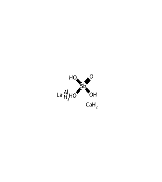 [AlH3].[CaH2].[La].[O]=[Sb]([OH])([OH])[OH]